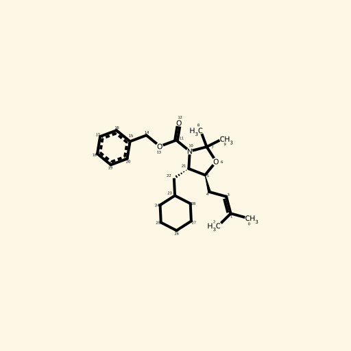 CC(C)=CC[C@@H]1OC(C)(C)N(C(=O)OCc2ccccc2)[C@H]1CC1CCCCC1